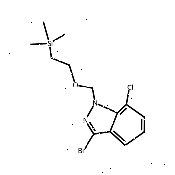 C[Si](C)(C)CCOCn1nc(Br)c2cccc(Cl)c21